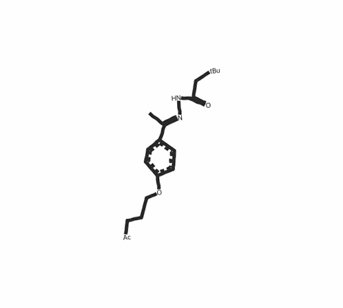 CC(=O)CCCOc1ccc(/C(C)=N/NC(=O)CC(C)(C)C)cc1